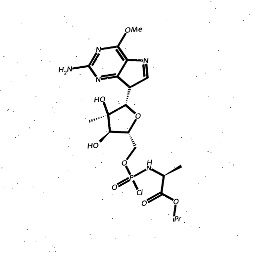 COc1nc(N)nc2c1N=CC2[C@@H]1O[C@H](COP(=O)(Cl)N[C@@H](C)C(=O)OC(C)C)[C@@H](O)[C@@]1(C)O